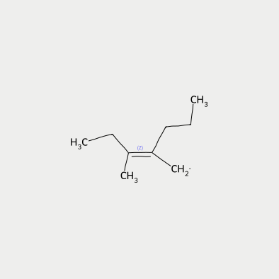 [CH2]/C(CCC)=C(\C)CC